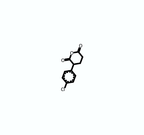 O=C1CCC(c2ccc(Cl)cc2)C(=O)O1